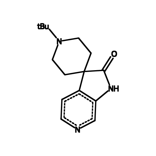 CC(C)(C)N1CCC2(CC1)C(=O)Nc1cnccc12